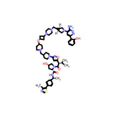 Cc1ncsc1-c1ccc([C@H](C)NC(=O)[C@@H]2C[C@@H](O)CN2C(=O)[C@@H](c2cc(N3CCC(CN4CCC(OC5CC(N6CCN(CC7[C@H]8CN(c9cc(-c%10ccccc%10O)nnc9N)C[C@@H]78)CC6)C5)CC4)CC3)no2)C(C)C)cc1